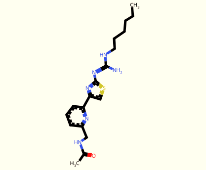 CCCCCCN/C(N)=N/c1nc(-c2cccc(CNC(C)=O)n2)cs1